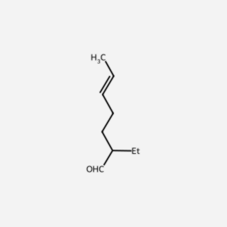 C/C=C/CCC(C=O)CC